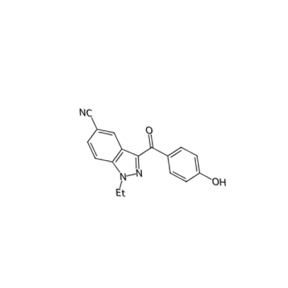 CCn1nc(C(=O)c2ccc(O)cc2)c2cc(C#N)ccc21